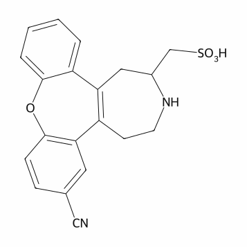 N#Cc1ccc2c(c1)C1=C(CC(CS(=O)(=O)O)NCC1)c1ccccc1O2